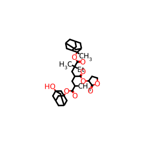 CCC(C)(CC(CC(C)C(=O)OC12CC3CC(CC(O)(C3)C1)C2)C(=O)OC1CCOC1=O)C(=O)OC1(C)C2CC3CC(C2)CC1C3